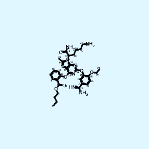 CCCCOC(=O)c1ccccc1Oc1nc(Oc2cc(C(=N)N)ccc2OCC)nc2c1nc(C)n2C(CCCCN)C(N)=O